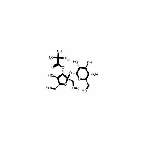 CC(=O)OC[C@@]1(O[C@H]2O[C@H](CO)[C@@H](O)[C@H](O)[C@H]2O)O[C@H](CO)[C@@H](O)[C@@H]1OC(=O)C(C)(C)O